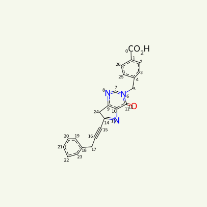 O=C(O)c1ccc(Cn2cnc3c(c2=O)N=C(C#CCc2ccccc2)C3)cc1